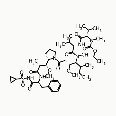 CCOC(=O)N(C)[C@H](C(=O)N[C@H](C(=O)N(C)[C@@H]([C@@H](C)CC)[C@@H](CC(=O)N1CCC[C@H]1[C@H](OC)[C@@H](C)C(=O)N[C@@H](Cc1ccccc1)C(=O)NS(=O)(=O)C1CC1)OC)C(C)C)C(C)C